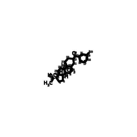 CC(=O)[C@H]1CC[C@H]2[C@@H]3CCC4CC(C(=O)c5cccc(I)c5)CC[C@]4(C)[C@H]3CC[C@]12C